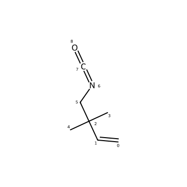 C=CC(C)(C)CN=C=O